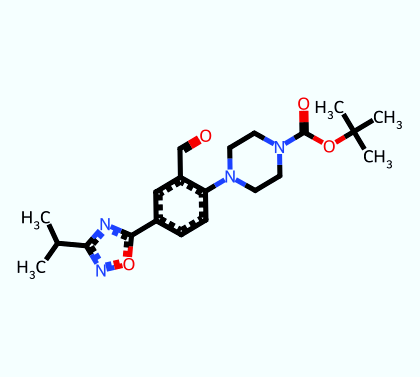 CC(C)c1noc(-c2ccc(N3CCN(C(=O)OC(C)(C)C)CC3)c(C=O)c2)n1